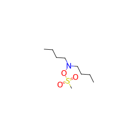 CCCCN(CCCC)OS(C)(=O)=O